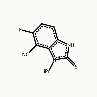 CC(C)n1c(=S)[nH]c2ccc(F)c(C#N)c21